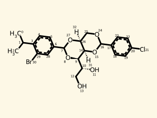 CC(C)c1ccc(C2O[C@H]([C@H](O)CO)[C@@H]3OC(c4ccc(Cl)cc4)OC[C@@H]3O2)cc1Br